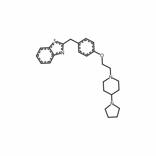 c1ccc2sc(Cc3ccc(OCCN4CCC(N5CCCC5)CC4)cc3)nc2c1